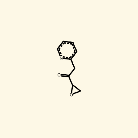 O=C(Cc1ccccn1)C1CO1